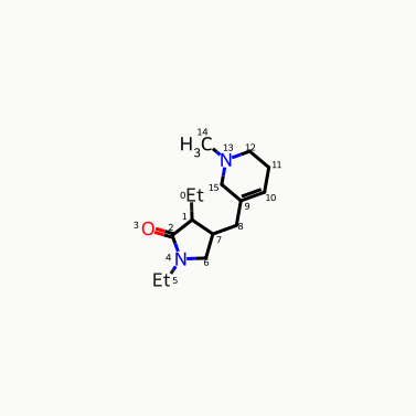 CCC1C(=O)N(CC)CC1CC1=CCCN(C)C1